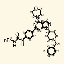 CCCNC(=O)Nc1ccc(-c2nc(N3CCOCC3)c3cnn(C4CCN(Cc5ccccc5)CC4)c3n2)cc1